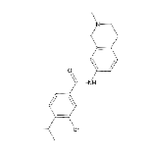 CC(C)c1ccc(C(=O)Nc2ccc3c(c2)CN(C)CC3)cc1Br